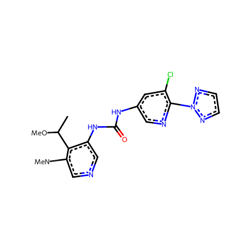 CNc1cncc(NC(=O)Nc2cnc(-n3nccn3)c(Cl)c2)c1C(C)OC